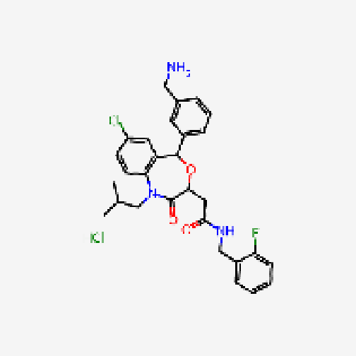 CC(C)CN1C(=O)C(CC(=O)NCc2ccccc2F)OC(c2cccc(CN)c2)c2cc(Cl)ccc21.Cl